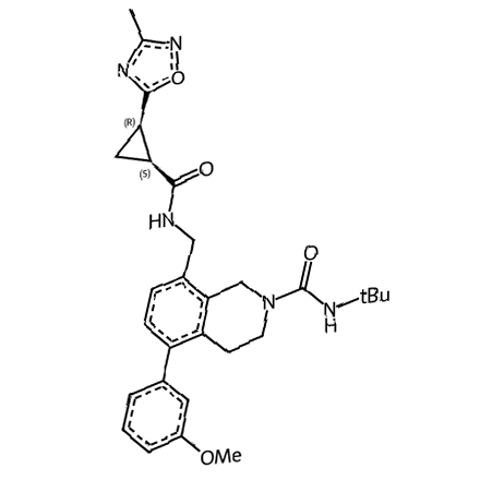 COc1cccc(-c2ccc(CNC(=O)[C@H]3C[C@H]3c3nc(C)no3)c3c2CCN(C(=O)NC(C)(C)C)C3)c1